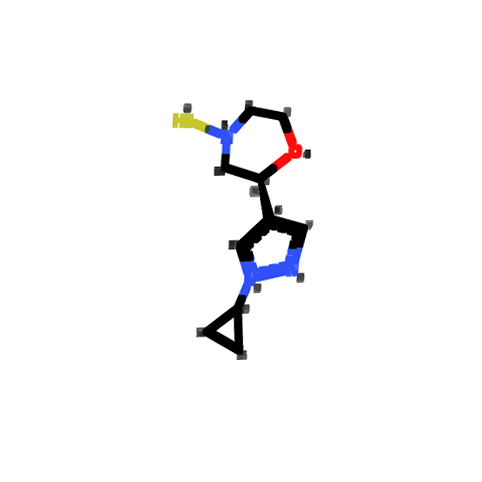 SN1CCO[C@@H](c2cnn(C3CC3)c2)C1